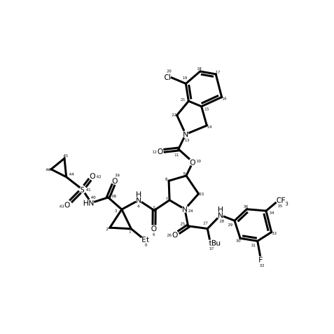 CCC1CC1(NC(=O)C1CC(OC(=O)N2Cc3cccc(Cl)c3C2)CN1C(=O)C(Nc1cc(F)cc(C(F)(F)F)c1)C(C)(C)C)C(=O)NS(=O)(=O)C1CC1